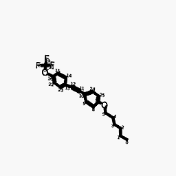 CCCCCCOc1ccc(C#Cc2ccc(OC(F)(F)F)cc2)cc1